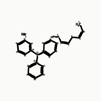 Br.C/C=C\C/C=C\CCCCC.c1ccc(P(c2ccccc2)c2ccccc2)cc1